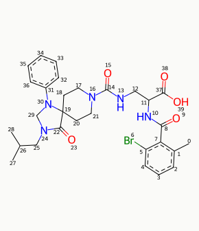 Cc1cccc(Br)c1C(=O)NC(CNC(=O)N1CCC2(CC1)C(=O)N(CC(C)C)CN2c1ccccc1)C(=O)O